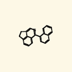 c1ccc2c(-c3ncc4c5c(cccc35)CC4)cccc2c1